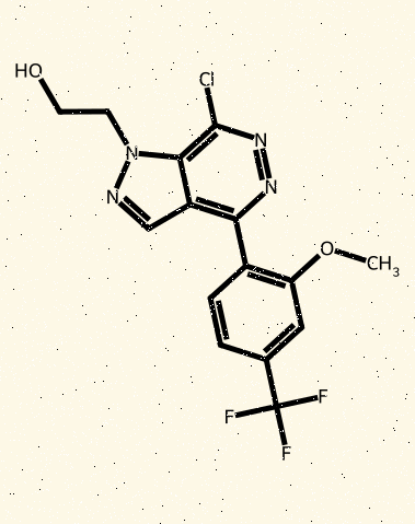 COc1cc(C(F)(F)F)ccc1-c1nnc(Cl)c2c1cnn2CCO